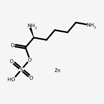 NCCCC[C@H](N)C(=O)OS(=O)(=O)O.[Zn]